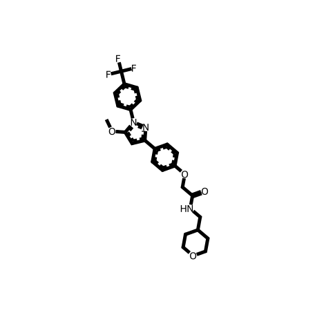 COc1cc(-c2ccc(OCC(=O)NCC3CCOCC3)cc2)nn1-c1ccc(C(F)(F)F)cc1